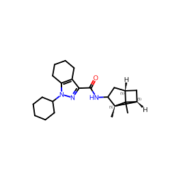 CC12[C@@H]3CC(NC(=O)c4nn(C5CCCCC5)c5c4CCCC5)[C@@]1(C)[C@H]2C3